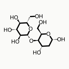 OC[C@@H]1O[C@H](O[C@@H]2[C@@H](O)C[C@@H](O)O[C@@H]2CO)[C@@H](O)[C@H](O)[C@H]1O